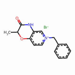 CC1Oc2cc[n+](Cc3ccccc3)cc2NC1=O.[Br-]